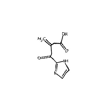 C=C(C(=O)O)C(=O)c1ncc[nH]1